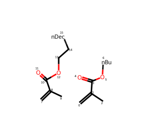 C=C(C)C(=O)OCCCC.C=C(C)C(=O)OCCCCCCCCCCCC